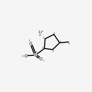 CC1CCC(S(=O)(=O)[O-])C1.[Li+]